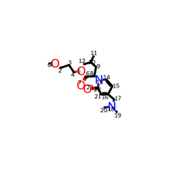 COCCCOC(=O)C(CC(C)C)n1ccc(CN(C)C)cc1=O